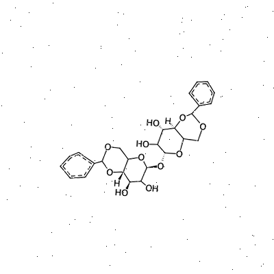 OC1[C@H](O[C@H]2OC3COC(c4ccccc4)O[C@@H]3[C@@H](O)C2O)OC2COC(c3ccccc3)O[C@H]2[C@@H]1O